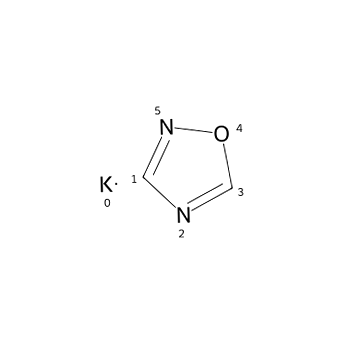 [K].c1ncon1